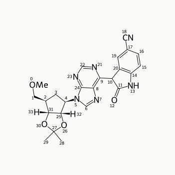 COC[C@H]1C[C@@H](n2cnc3c(C4C(=O)Nc5ccc(C#N)cc54)ncnc32)[C@@H]2OC(C)(C)O[C@H]12